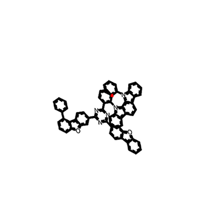 c1ccc(-c2cccc3oc4cc(-c5nc(-c6ccc7c(c6)oc6ccccc67)nc(-c6ccccc6-n6c7ccccc7c7ccc8c9ccccc9n(-c9ccccc9)c8c76)n5)ccc4c23)cc1